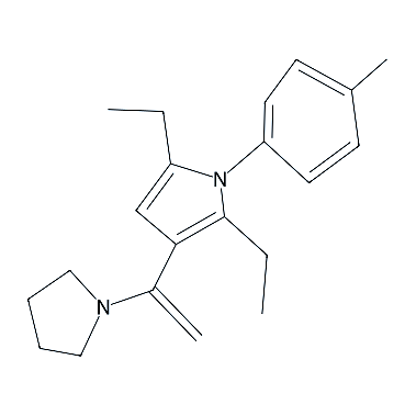 C=C(c1cc(CC)n(-c2ccc(C)cc2)c1CC)N1CCCC1